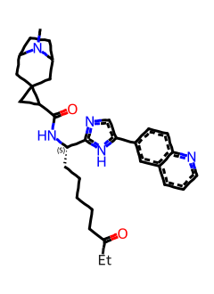 CCC(=O)CCCCC[C@H](NC(=O)C1CC12CC1CCC(C2)N1C)c1ncc(-c2ccc3ncccc3c2)[nH]1